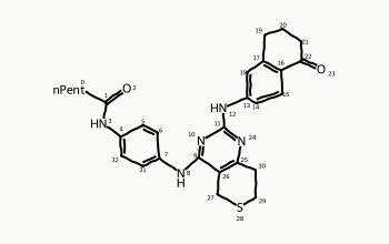 CCCCCC(=O)Nc1ccc(Nc2nc(Nc3ccc4c(c3)CCCC4=O)nc3c2CSCC3)cc1